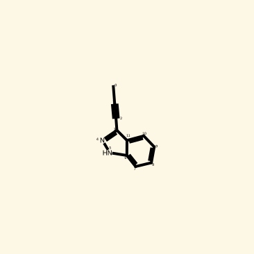 CC#Cc1n[nH]c2ccccc12